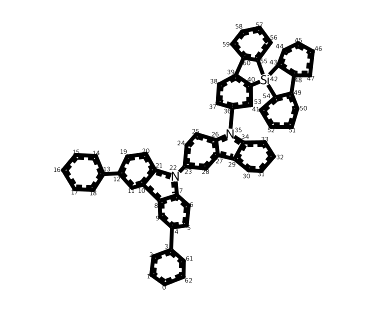 c1ccc(-c2ccc3c(c2)c2cc(-c4ccccc4)ccc2n3-c2ccc3c(c2)c2ccccc2n3-c2ccc3c(c2)[Si]2(c4ccccc4-c4ccccc42)c2ccccc2-3)cc1